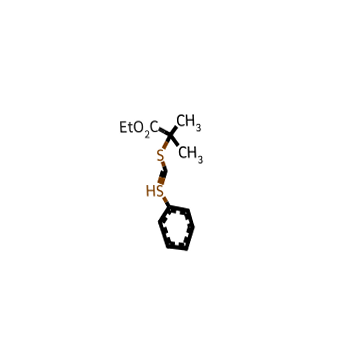 CCOC(=O)C(C)(C)SC=[SH]c1ccccc1